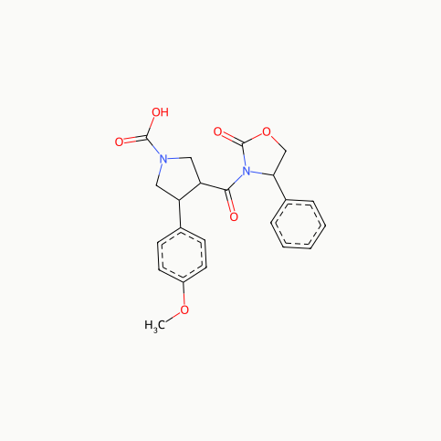 COc1ccc(C2CN(C(=O)O)CC2C(=O)N2C(=O)OCC2c2ccccc2)cc1